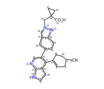 N#CC1CC=C(c2c(-c3ccc4nn(CC5(C(=O)O)CC5)cc4c3)cnc3[nH]ccc23)CC1